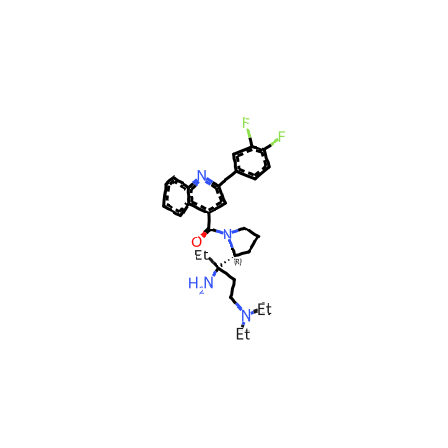 CCN(CC)CCC(N)(CC)[C@H]1CCCN1C(=O)c1cc(-c2ccc(F)c(F)c2)nc2ccccc12